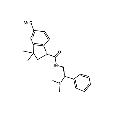 COc1ccc2c(n1)C(C)(C)CN2C(=O)NC[C@@H](c1ccccc1)N(C)C